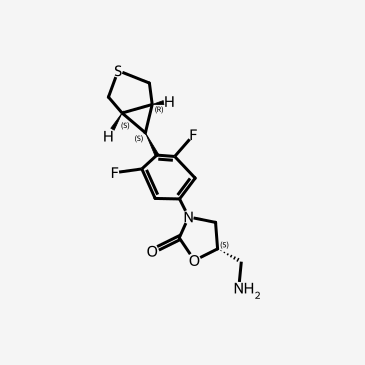 NC[C@H]1CN(c2cc(F)c([C@H]3[C@@H]4CSC[C@@H]43)c(F)c2)C(=O)O1